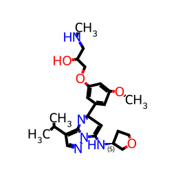 CNCC(O)COc1cc(OC)cc(-c2cc(N[C@H]3CCOC3)n3ncc(C(C)C)c3n2)c1